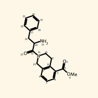 COC(=O)c1cccc2c1CCN(C(=O)C(N)Cc1ccccc1)C2